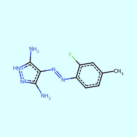 Cc1ccc(N=Nc2c(N)n[nH]c2N)c(F)c1